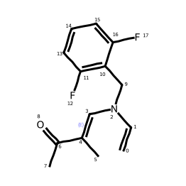 C=CN(/C=C(\C)C(C)=O)Cc1c(F)cccc1F